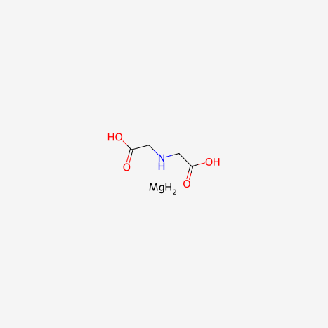 O=C(O)CNCC(=O)O.[MgH2]